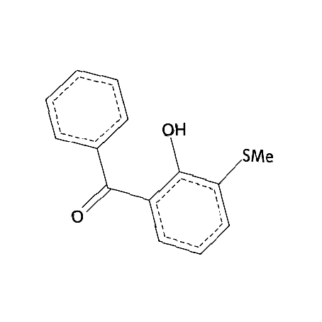 CSc1cccc(C(=O)c2ccccc2)c1O